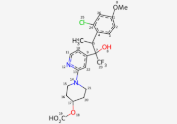 COc1ccc(C(C)C(O)(c2ccnc(N3CCC(OC(=O)O)CC3)c2)C(F)(F)F)c(Cl)c1